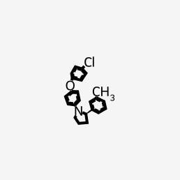 Cc1cccc([C@H]2CCCN2c2ccc(Oc3ccc(Cl)cc3)cc2)c1